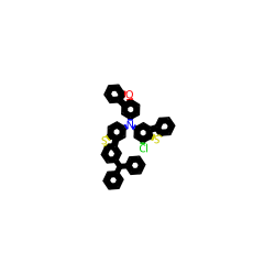 Clc1cc(N(c2ccc3oc4ccccc4c3c2)c2ccc3sc4ccc(C(c5ccccc5)c5ccccc5)cc4c3c2)cc2c1sc1ccccc12